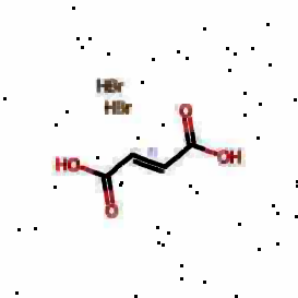 Br.Br.O=C(O)/C=C/C(=O)O